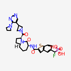 O=C(N[C@H]1CCC[C@H]2CC[C@@H](C(=O)N3CC(c4cncnc4N4CCC4)C3)N2C1=O)c1cc2cc([C@H](F)P(=O)(O)O)ccc2s1